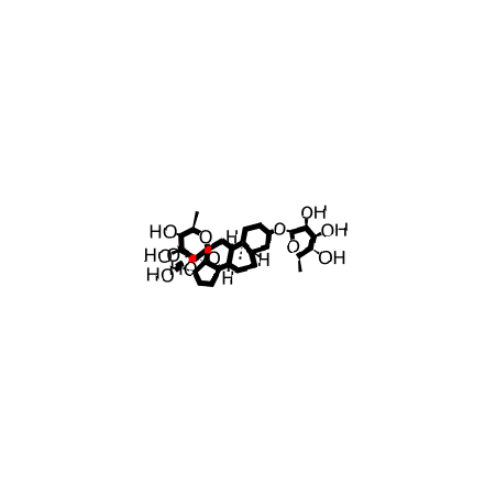 C[C@H]1O[C@H](OC2CC[C@@]3(C)[C@H](CC[C@@H]4[C@@H]3CC[C@]3(C)[C@@H](C(=O)O)CCC43O[C@@H]3O[C@H](C)[C@@H](O)[C@H](O)[C@@H]3O)C2)[C@@H](O)[C@@H](O)[C@@H]1O